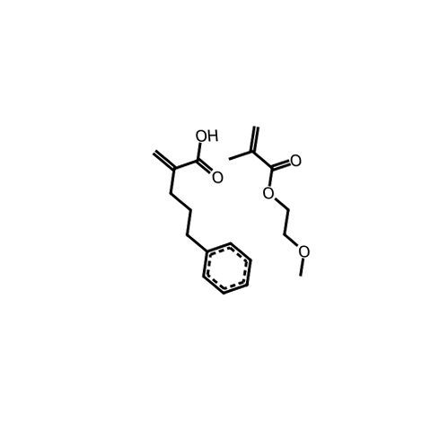 C=C(C)C(=O)OCCOC.C=C(CCCc1ccccc1)C(=O)O